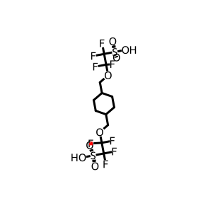 O=S(=O)(O)C(F)(F)C(F)(F)OCC1CCC(COC(F)(F)C(F)(F)S(=O)(=O)O)CC1